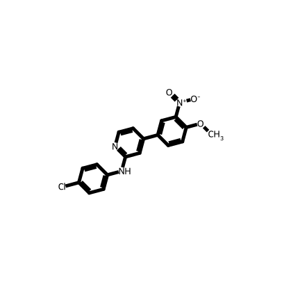 COc1ccc(-c2ccnc(Nc3ccc(Cl)cc3)c2)cc1[N+](=O)[O-]